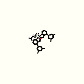 Cc1cc(C)cc(-c2cccc3c2C=C[CH]3[Hf]([CH3])([CH3])([CH3])(=[CH]CC(C)C)[CH]2C=Cc3c(-c4cc(C)cc(C)c4)cccc32)c1